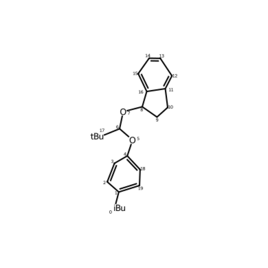 CCC(C)c1ccc(OC(OC2CCc3ccccc32)C(C)(C)C)cc1